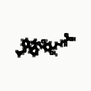 Cc1cc(COC2(c3cnccc3-c3ccccc3OC3CC3)CC2)c(Cl)cc1CCCCNC(=O)O